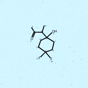 CC(=O)C(C)C1(O)CCC(F)(F)CC1